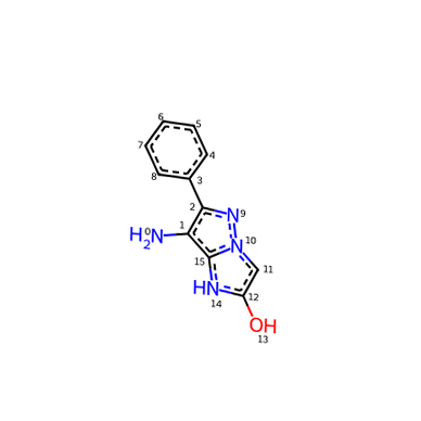 Nc1c(-c2ccccc2)nn2cc(O)[nH]c12